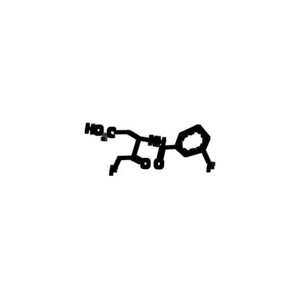 O=C(O)CC(NC(=O)c1cccc(F)c1)C(=O)CF